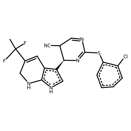 CC(F)(F)C1=Cc2c([C@@H]3N=C(Sc4ccccc4Cl)N=CC3C#N)c[nH]c2NC1